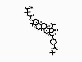 CC(C)C1=C2[C@H]3CC[C@@H]4[C@@]5(C)CC[C@H](OC(=O)CC(C)(C)C(=O)O)C(C)(C)[C@@H]5CC[C@@]4(C)[C@]3(C)CC[C@@]2(NC(=O)N2CCN(C(=O)OC(C)(C)C)CC2)CC1=O